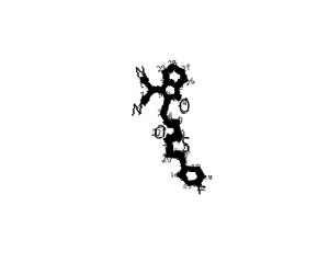 N#CC(C#N)=C1/C(=C/c2cc3sc(-c4ccc(F)cc4)cc3o2)C(=O)c2ccccc21